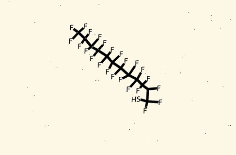 FC(C(F)(F)S)C(F)(F)C(F)(F)C(F)(F)C(F)(F)C(F)(F)C(F)(F)C(F)(F)C(F)(F)C(F)(F)C(F)(F)F